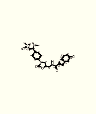 CN(C)C(=NS(C)(=O)=O)c1ccc(N2CC(CNC(=O)c3cc4cc(Cl)ccc4s3)OC2=O)cc1